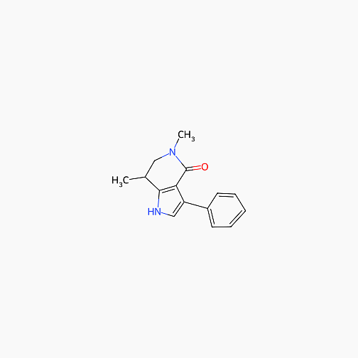 CC1CN(C)C(=O)c2c(-c3ccccc3)c[nH]c21